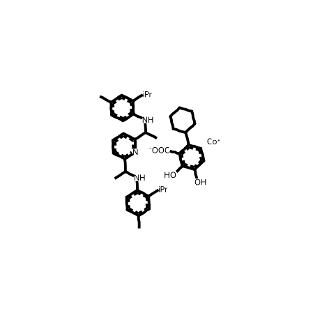 Cc1ccc(NC(C)c2cccc(C(C)Nc3ccc(C)cc3C(C)C)n2)c(C(C)C)c1.O=C([O-])c1c(C2CCCCC2)ccc(O)c1O.[Co+]